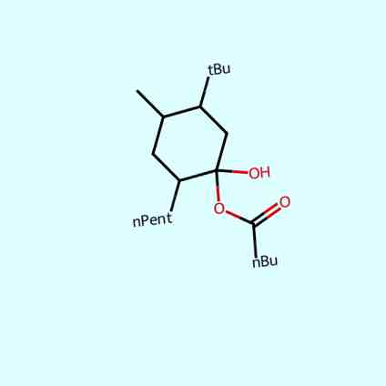 CCCCCC1CC(C)C(C(C)(C)C)CC1(O)OC(=O)CCCC